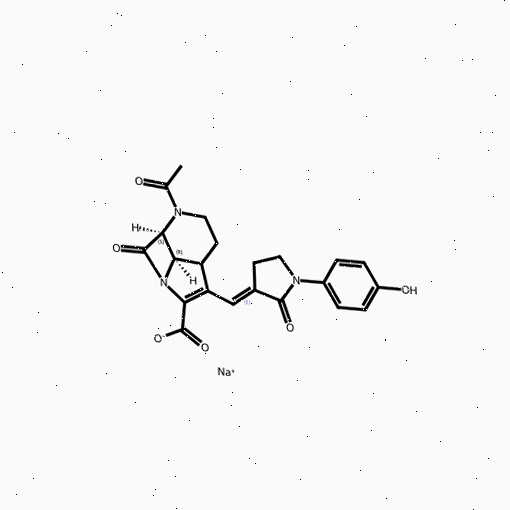 CC(=O)N1CCC2C(/C=C3\CCN(c4ccc(O)cc4)C3=O)=C(C(=O)[O-])N3C(=O)[C@@H]1[C@@H]23.[Na+]